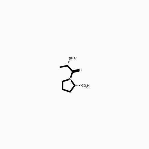 CC(=O)N[C@@H](C)C(=O)N1CCC[C@H]1C(=O)O